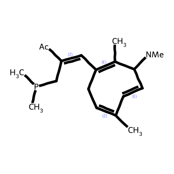 CNC1/C=C/C(C)=C\CC(/C=C(\CP(C)C)C(C)=O)=C\1C